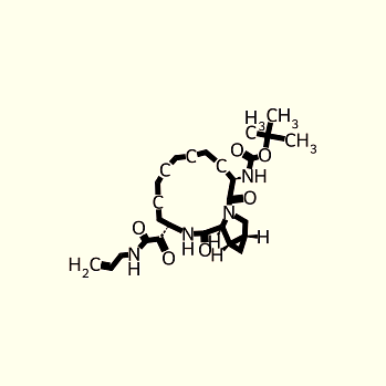 C=CCNC(=O)C(=O)[C@@H]1CCCCCCCC[C@H](NC(=O)OC(C)(C)C)C(=O)N2C[C@@H]3C[C@@H]3[C@H]2C(=O)N1